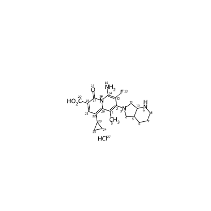 Cc1c(N2CC3CCCNC3C2)c(F)c(N)n2c(=O)c(C(=O)O)cc(C3CC3)c12.Cl